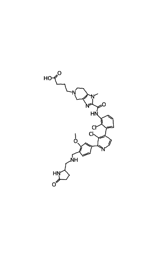 COc1cc(-c2nccc(-c3cccc(NC(=O)c4nc5c(n4C)CCN(CCCC(=O)O)C5)c3Cl)c2Cl)ccc1CNCC1CCC(=O)N1